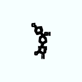 O=c1nc(N2CCC(O)(c3ccc(Cl)cc3)CC2)nc[nH]1